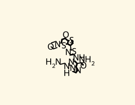 NCCNc1nc(Nc2cnc(-c3csc4c(=O)cc(N5CCOCC5)sc34)s2)c(C(N)=O)c2nccn12